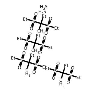 CCC(C)(S(=O)(=O)CC)S(=O)(=O)CC.CCC(C)(S(=O)(=O)CC)S(=O)(=O)CC.CCC(C)(S(=O)(=O)CC)S(=O)(=O)CC.CCC(C)(S(=O)(=O)CC)S(=O)(=O)CC.S.S